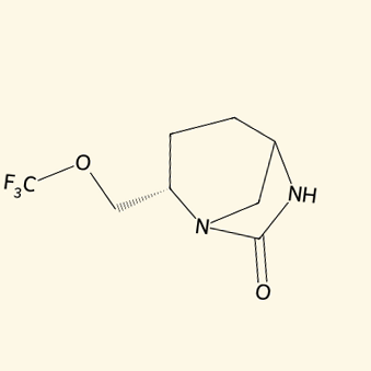 O=C1NC2CC[C@@H](COC(F)(F)F)N1C2